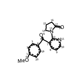 COc1ccc(C(=O)c2cccnc2N2CCCC2=O)cc1